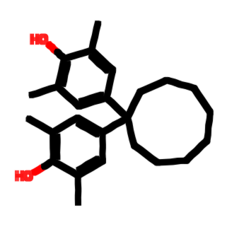 Cc1cc(C2(c3cc(C)c(O)c(C)c3)CCCCCCCC2)cc(C)c1O